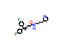 O=C(/C=C/[C@H]1CC1(c1ccc(F)cc1)c1ccc(F)cc1)NCCCCc1cccnc1